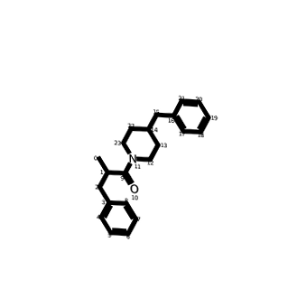 CC(Cc1ccccc1)C(=O)N1CCC(Cc2ccccc2)CC1